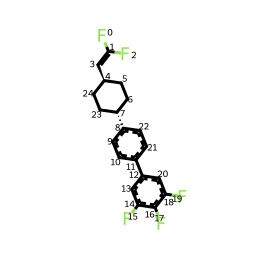 FC(F)=C[C@H]1CC[C@H](c2ccc(-c3cc(F)c(F)c(F)c3)cc2)CC1